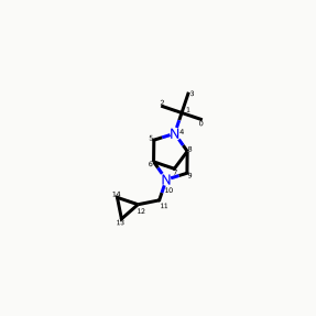 CC(C)(C)N1CC2CC1CN2CC1CC1